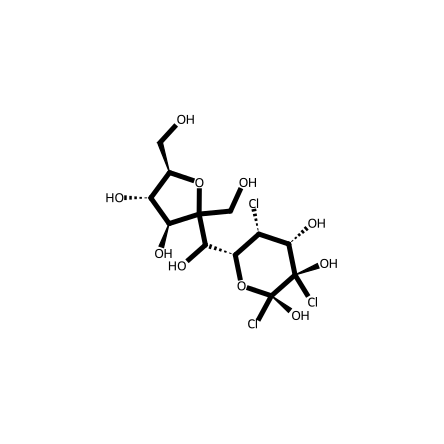 OC[C@H]1OC(CO)(C(O)[C@H]2O[C@@](O)(Cl)[C@@](O)(Cl)[C@@H](O)[C@H]2Cl)[C@@H](O)[C@@H]1O